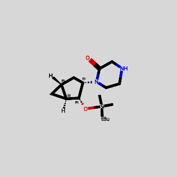 CC(C)(C)[Si](C)(C)O[C@@H]1[C@H]2C[C@@H]2C[C@@H]1N1CCNCC1=O